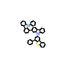 c1ccc(-c2cc(-n3c4ccccc4c4ccc(-c5cccc6c7ccccc7n(-c7ccccc7)c56)cc43)cc3c2sc2ccccc23)cc1